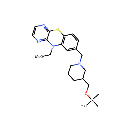 COCN1c2cc(CN3CCCC(CO[Si](C)(C)C(C)(C)C)C3)ccc2Sc2nccnc21